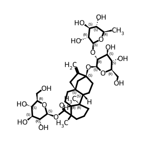 C=C1C[C@]23CC[C@H]4C(C)(C(=O)O[C@@H]5O[C@H](CO)[C@@H](O)[C@H](O)[C@H]5O)CCC[C@]4(C)[C@H]2CC[C@]1(O[C@@H]1O[C@H](CO)[C@@H](O)[C@H](O)[C@H]1O[C@@H]1O[C@H](C)[C@@H](O)[C@H](O)[C@H]1O)C3